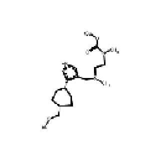 CCOC[C@H]1CC[C@H](c2n[nH]cc2CN(C)CCN(C)C(=O)OC(C)(C)C)CC1